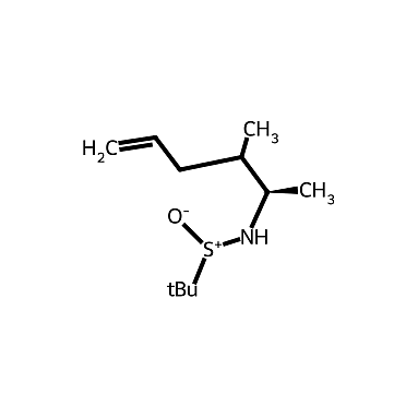 C=CCC(C)[C@@H](C)N[S+]([O-])C(C)(C)C